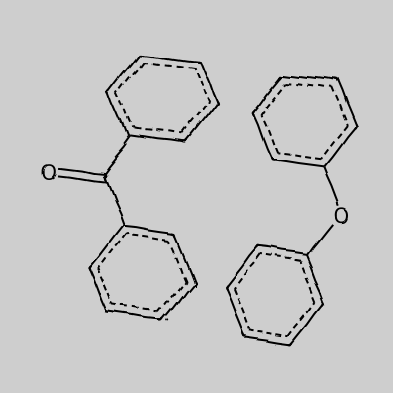 O=C(c1cc[c]cc1)c1ccccc1.c1ccc(Oc2ccccc2)cc1